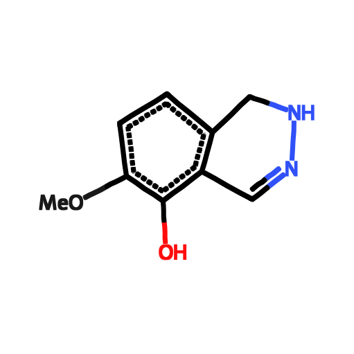 COc1ccc2c(c1O)C=NNC2